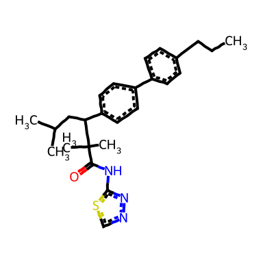 CCCc1ccc(-c2ccc(C(CC(C)C)C(C)(C)C(=O)Nc3nncs3)cc2)cc1